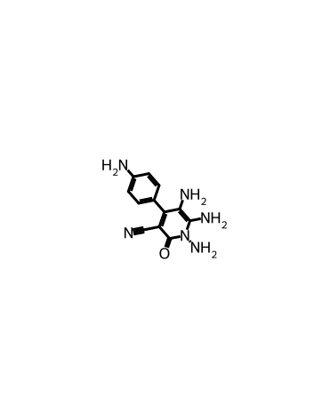 N#Cc1c(-c2ccc(N)cc2)c(N)c(N)n(N)c1=O